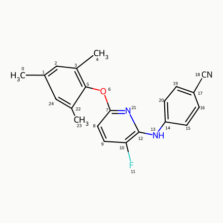 Cc1cc(C)c(Oc2ccc(F)c(Nc3ccc(C#N)cc3)n2)c(C)c1